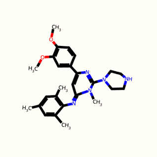 COc1ccc(-c2cc(=Nc3c(C)cc(C)cc3C)n(C)c(N3CCNCC3)n2)cc1OC